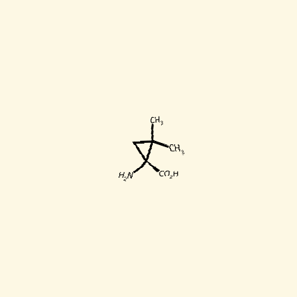 CC1(C)C[C@]1(N)C(=O)O